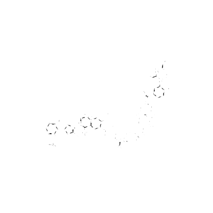 COc1cc2nc(C)nc(N[C@H](C)c3cc(-c4c(Cl)cccc4CN(C)C)cs3)c2cc1C1CCC(C(=O)N2CCN(CC3CCC4(CC3)CCN(C(=O)c3ccc(F)c(N5CCC(=O)NC5=O)c3)CC4)CC2)CC1